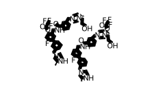 C[C@H]1CN(Cc2cccc(-c3cc(CNC(=O)c4cccc(CN5CC[N+](C)(CCCO)CC5)c4)ccc3F)c2)CCN1.C[C@H]1CN(Cc2cccc(-c3cc(CNC(=O)c4cccc(CN5CC[N+](C)(CCCO)CC5)c4)ccc3F)c2)CCN1.O=C([O-])C(F)(F)F.O=C([O-])C(F)(F)F